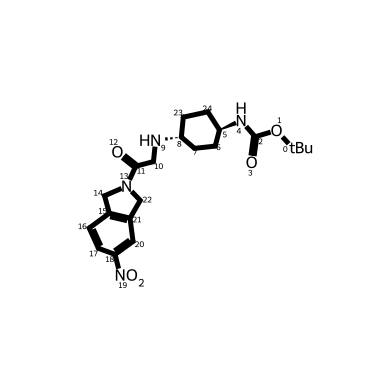 CC(C)(C)OC(=O)N[C@H]1CC[C@H](NCC(=O)N2Cc3ccc([N+](=O)[O-])cc3C2)CC1